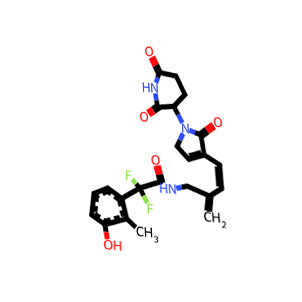 C=C(/C=C\C1=CCN(C2CCC(=O)NC2=O)C1=O)CNC(=O)C(F)(F)c1cccc(O)c1C